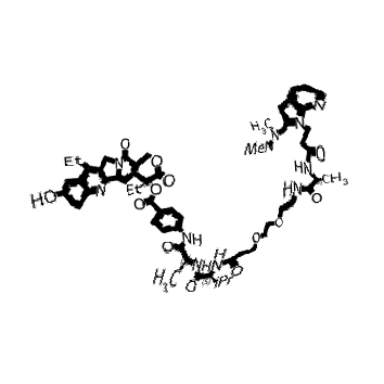 CCc1c2c(nc3ccc(O)cc13)-c1cc3c(c(=O)n1C2)COC(=O)[C@@]3(CC)OC(=O)c1ccc(NC(=O)[C@H](C)NC(=O)[C@@H](NC(=O)CCOCCOCCNC(=O)[C@H](C)NC(=O)CCn2c(CN(C)NC)cc3cccnc32)C(C)C)cc1